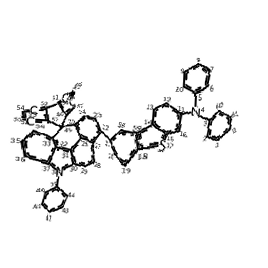 c1ccc(N(c2ccccc2)c2ccc3c(c2)sc2ccc(-c4ccc5c6c4ccc4c6c6c(cccc6n4-c4ccccc4)C54c5ccccc5-c5ccccc54)cc23)cc1